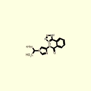 CCCCCCC(C(=O)O)n1cnc(NC(=O)c2ccccc2-c2nnn[nH]2)c1